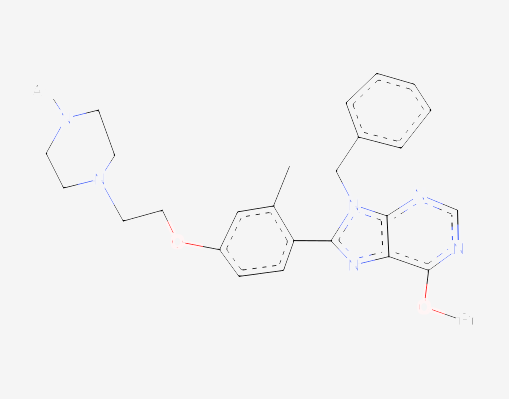 CC(=O)N1CCN(CCOc2ccc(-c3nc4c(OC(C)C)ncnc4n3Cc3ccccc3)c(C)c2)CC1